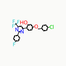 Oc1cc(OCc2ccc(Cl)cc2)ccc1-c1cc(C(F)(F)F)nc(-c2ccc(F)cc2)n1